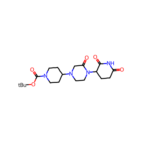 CC(C)(C)OC(=O)N1CCC(N2CCN(C3CCC(=O)NC3=O)C(=O)C2)CC1